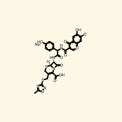 Cc1nnc(SCC2=C(C(=O)O)N3C(=O)[C@@H](NC(=O)C(NC(=O)c4coc5cc([O-])c(O)cc5c4=O)c4ccc(O)cc4)[C@@H]3SC2)s1.[Na+]